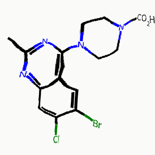 Cc1nc(N2CCN(C(=O)O)CC2)c2cc(Br)c(Cl)cc2n1